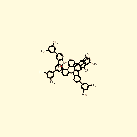 N#Cc1cccc(-n2c3ccc(-c4cc(C(F)(F)F)cc(C(F)(F)F)c4)cc3c3cc(-c4cc(C(F)(F)F)cc(C(F)(F)F)c4)ccc32)c1-c1cc(-c2cc(C(F)(F)F)cc(C(F)(F)F)c2)ccc1-n1c2ccc(-c3cc(C(F)(F)F)cc(C(F)(F)F)c3)cc2c2cc(-c3cc(C(F)(F)F)cc(C(F)(F)F)c3)ccc21